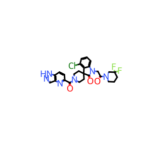 O=C(CN1C(=O)C2(CCN(C(=O)c3ccc4[nH]ncc4n3)CC2)c2c(Cl)cccc21)N1CCCC(F)(F)C1